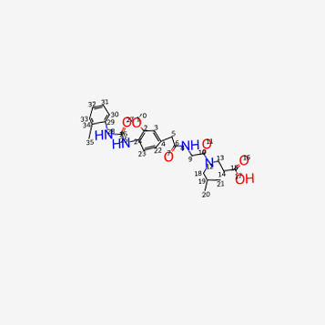 COc1cc(CC(=O)NCC(=O)N(CCC(=O)O)CC(C)C)ccc1NC(=O)Nc1ccccc1C